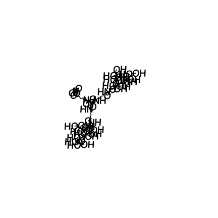 O=C(CCCCCNC(=O)CN(CC(=O)NCCCCCC(=O)NCCOC(O)C(O)C(OC(O)C(O)C(O)C(O)CCO)C(O)CCOC1OC(CO)C(O)C(O)C1O)CC(=O)NCCCCCC(=O)ON1C(=O)CCC1=O)NCCOC(O)C(O)C(OC(O)C(O)C(O)C(O)CCO)C(O)CCOC(O)C(O)C(O)C(O)CCO